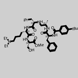 CCN(CC)CCCC[C@H](NC(=O)[C@H](CC(C)C)NC[C@H](C)NC(=O)[C@H](Cc1ccccc1)NC(=O)c1ccc(C(C)(C)C)cc1)C(=O)N[C@@H](CO)C(=O)OC